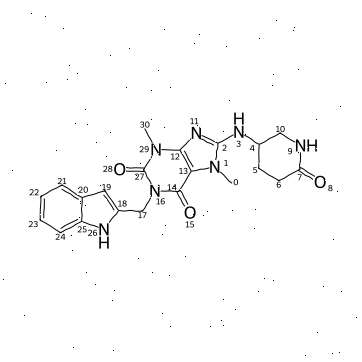 Cn1c(NC2CCC(=O)NC2)nc2c1c(=O)n(Cc1cc3ccccc3[nH]1)c(=O)n2C